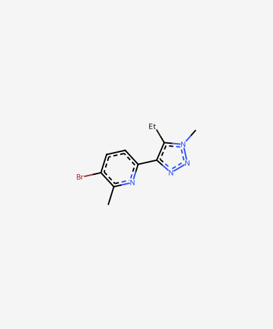 CCc1c(-c2ccc(Br)c(C)n2)nnn1C